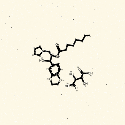 CCCCCCCC(=O)NC(CN1CCCC1)C(O)c1ccc2c(c1)OCCO2.O=C(O)C(O)C(O)C(=O)O